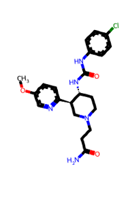 COc1ccc([C@@H]2CN(CCC(N)=O)CC[C@H]2NC(=O)Nc2ccc(Cl)cc2)nc1